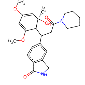 COC1=C[C@@](C)(O)C(C(CC(=O)N2CCCCC2)c2ccc3c(c2)CNC3=O)C(OC)=C1